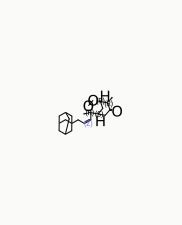 C[C@H]1C(=O)C[C@@H]2C[C@H]1OO[C@@]2(C)/C=C\CC12CC3CC(CC(C3)C1)C2